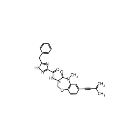 C=C(C)C#Cc1ccc2c(c1)N(C)C(=O)[C@H](NC(=O)c1n[nH]c(Cc3ccccc3)n1)CO2